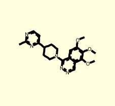 COc1cc2c(N3CCC(c4ccnc(C)n4)CC3)nncc2c(OC)c1OC